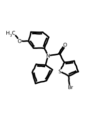 COc1cccc(N(C(=O)c2ccc(Br)s2)c2ccccc2)c1